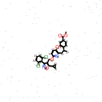 COC(=O)c1ccc2c(c1)Oc1ccc(OCc3c(-c4c(Cl)cccc4Cl)noc3C3CC3)nc1CC2C